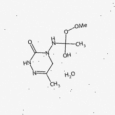 COOC(C)(O)NN1CC(C)=NNC1=O.O